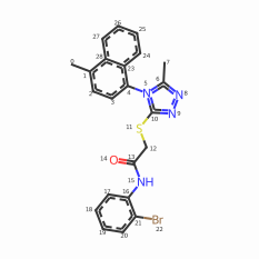 Cc1ccc(-n2c(C)nnc2SCC(=O)Nc2ccccc2Br)c2ccccc12